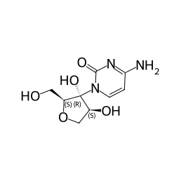 Nc1ccn([C@]2(O)[C@H](CO)OC[C@@H]2O)c(=O)n1